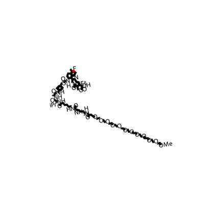 CC[C@@]1(O)C(=O)OCc2c1cc1n(c2=O)Cc2c-1nc1cc(F)c(C)c3c1c2[C@@H](NC(=O)OCc1ccc(NC(=O)[C@H](C)NC(=O)[C@@H](NC(=O)CCCCCNC(=O)[C@@H](N)CCCCNC(=O)CCOCCOCCOCCOCCOCCOCCOCCOCCOCCOCCOCCOC)C(C)C)cc1)CC3